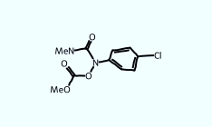 CNC(=O)N(OC(=O)OC)c1ccc(Cl)cc1